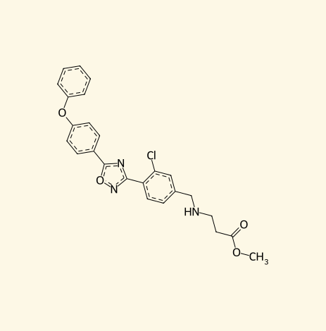 COC(=O)CCNCc1ccc(-c2noc(-c3ccc(Oc4ccccc4)cc3)n2)c(Cl)c1